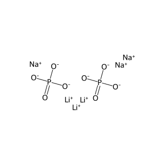 O=P([O-])([O-])[O-].O=P([O-])([O-])[O-].[Li+].[Li+].[Li+].[Na+].[Na+].[Na+]